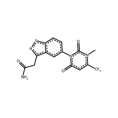 Cn1c(C(F)(F)F)cc(=O)n(-c2ccc3snc(CC(N)=O)c3c2)c1=O